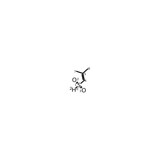 [2H]S(=O)(=O)C=C(C)C